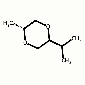 CC(C)C1CO[C@H](C)CO1